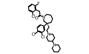 O=C(Cc1c(F)cccc1Cl)N1CCCC[C@](CCN2CCC(N3CCCCC3)CC2)(c2ccc(Cl)c(Cl)c2)C1